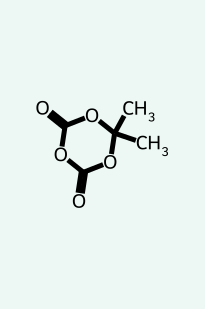 CC1(C)OC(=O)OC(=O)O1